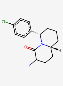 O=C1C(I)CC[C@H]2CCC[C@@H](c3ccc(Cl)cc3)N12